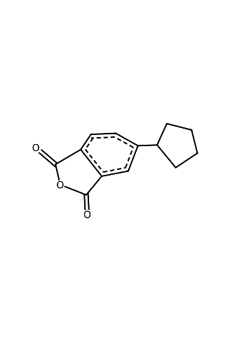 O=C1OC(=O)c2cc(C3CCCC3)ccc21